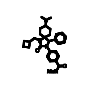 CNC(=O)c1ccc(N2C(=O)N(CC3CCC3)C3(CCC(N(C)C)CC3)C2c2ccccc2)cc1